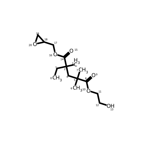 CCC(C)(CC(C)(C)C(=O)OCCO)C(=O)OCC1CO1